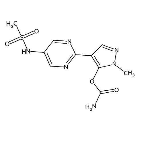 Cn1ncc(-c2ncc(NS(C)(=O)=O)cn2)c1OC(N)=O